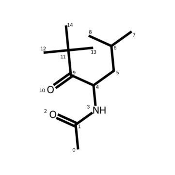 CC(=O)NC(CC(C)C)C(=O)C(C)(C)C